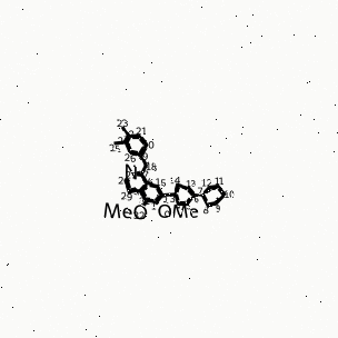 COc1c(-c2ccc(-c3ccccc3)cc2)cc2c(Cc3ccc(C)c(C)c3)nccc2c1OC